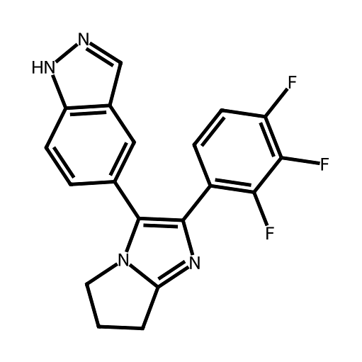 Fc1ccc(-c2nc3n(c2-c2ccc4[nH]ncc4c2)CCC3)c(F)c1F